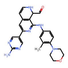 Cc1cc(Nc2nc(-c3cnc(N)nc3)cc3c2C(C=O)NC=C3)ccc1N1CCOCC1